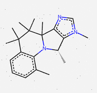 Cc1cccc2c1N1[C@@H](C)c3c(ncn3C)C1(C)C(C)(C)C2(C)C